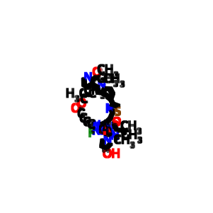 CCn1c(-c2cccnc2[C@H](C)OC)c2c3cc(ccc31)-c1csc(n1)C[C@H](NC(=O)C(C(C)C)N(C)C(=O)N1CC[C@H](O)C1)C(=O)N(NF)CCCCC(=O)OCC(C)(C)C2